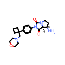 N[C@@H]1CCN2C(=O)N(c3ccc(C4(CN5CCOCC5)CCC4)cc3)C(=O)[C@H]12